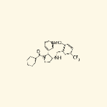 COc1ccc(C(F)(F)F)cc1CNC1CCN(C(=O)C2CCCCC2)C1c1ccccc1